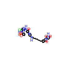 COc1cc(N2CCC(NCCCCCCCCc3ccc4c(c3)CN(C3CCC(=O)NC3=O)C4=O)CC2)ccc1Nc1ncc(Cl)c(Nc2ccccc2P(=O)(OC)OC)n1